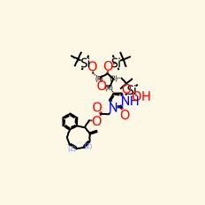 C=C1/C=C\C=C/Cc2ccccc2C1COC(=O)Cn1cc([C@@H]2O[C@H](CO[Si](C)(C)C(C)(C)C)C(O[Si](C)(C)C(C)(C)C)[C@@H]2CC(C)(C)[Si](C)(C)O)c(=O)[nH]c1=O